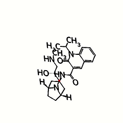 CNC[C@@H](O)CN1[C@@H]2CC[C@H]1C[C@H](NC(=O)c1cc3ccccc3n(C(C)C)c1=O)C2